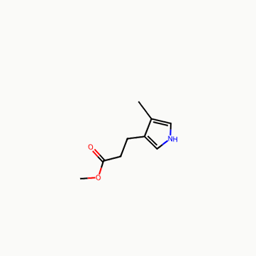 COC(=O)CCc1c[nH]cc1C